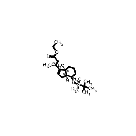 CCOC(=O)C[C@H](C)C1=CC[C@H]2C(O[Si](C)(C)C(C)(C)C)CCC[C@]12C